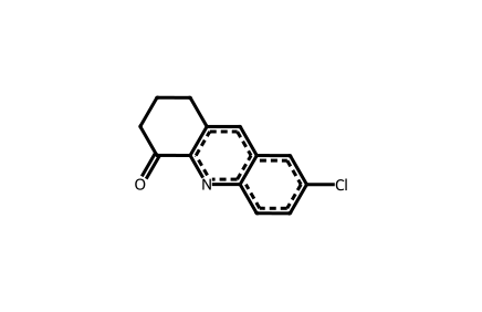 O=C1CCCc2cc3cc(Cl)ccc3nc21